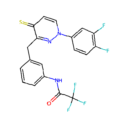 O=C(Nc1cccc(Cc2nn(-c3ccc(F)c(F)c3)ccc2=S)c1)C(F)(F)F